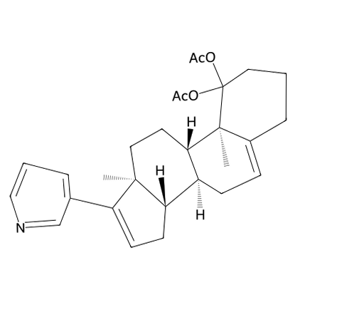 CC(=O)OC1(OC(C)=O)CCCC2=CC[C@@H]3[C@H](CC[C@]4(C)C(c5cccnc5)=CC[C@@H]34)[C@]21C